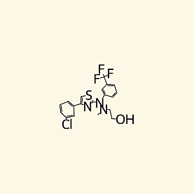 CN(CCO)N(c1cccc(C(F)(F)F)c1)c1nc(-c2cccc(Cl)c2)cs1